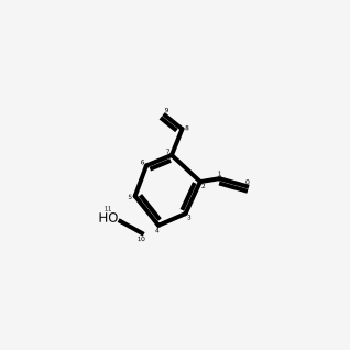 C=Cc1ccccc1C=C.CO